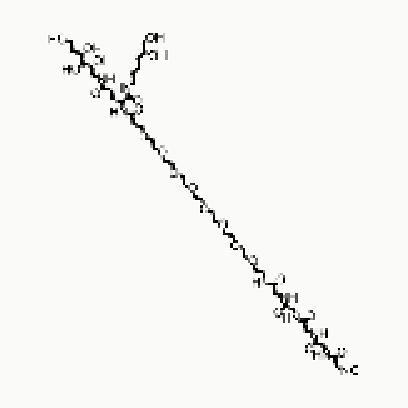 O=NCC(=O)NCC(=O)NCC(=O)NCC(=O)NCC(=O)NCCOCCOCCOCCOCCOCCOCCOCCOCCC(=O)N[C@@H](CCC(=O)NC[C@H](O)[C@@H](O)[C@H](O)CCO)C(=O)NCCCC[C@H](O)CO